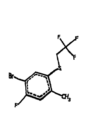 Cc1cc(F)c(Br)cc1SCC(F)(F)F